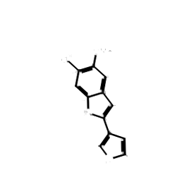 COc1cc2cc(-c3ccsc3)[nH]c2cc1Cl